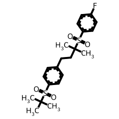 CC(C)(C)S(=O)(=O)c1ccc(CCC(C)(C)S(=O)(=O)c2ccc(F)cc2)cc1